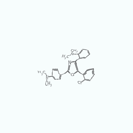 CN(C)c1ccc(-c2nc(-c3ccccc3N(C)C)c(-c3ccccc3Cl)o2)cc1